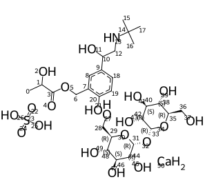 CC(O)C(=O)OCc1cc(C(O)CNC(C)(C)C)ccc1O.O=S(=O)(O)O.OC[C@H]1O[C@H](O[C@H]2O[C@H](CO)[C@@H](O)[C@H](O)[C@H]2O)[C@H](O)[C@@H](O)[C@@H]1O.[CaH2]